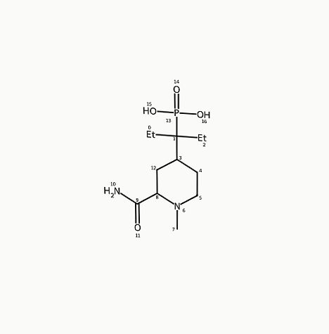 CCC(CC)(C1CCN(C)C(C(N)=O)C1)P(=O)(O)O